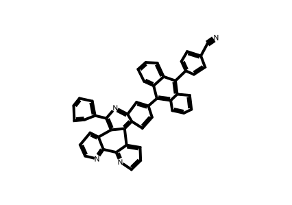 N#Cc1ccc(-c2c3ccccc3c(-c3ccc4c(c3)nc(-c3ccccc3)c3c5cccnc5c5ncccc5c43)c3ccccc23)cc1